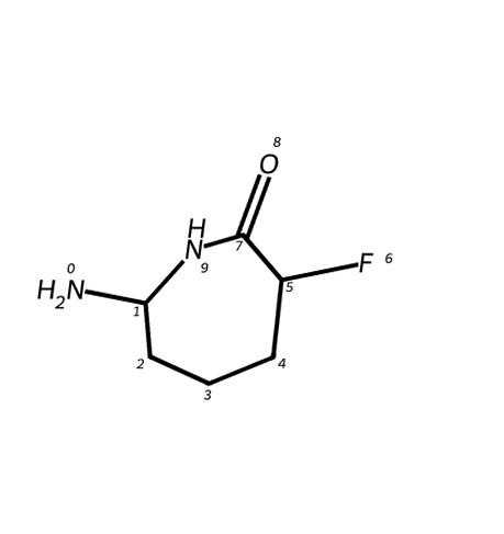 NC1CCCC(F)C(=O)N1